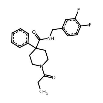 CCC(=O)N1CCC(C(=O)NCc2ccc(F)c(F)c2)(c2ccccc2)CC1